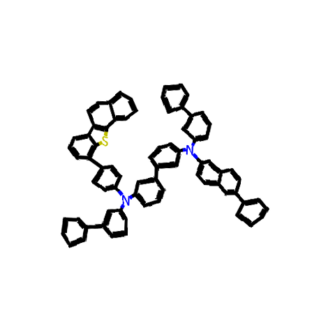 c1ccc(-c2cccc(N(c3ccc(-c4cccc5c4sc4c6ccccc6ccc54)cc3)c3cccc(-c4cccc(N(c5cccc(-c6ccccc6)c5)c5ccc6cc(-c7ccccc7)ccc6c5)c4)c3)c2)cc1